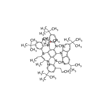 C=CCc1cc(C(C)(C)C)ccc1N(C)c1c2c3c(c(N(C)c4ccc(C(C)(C)C)cc4C)c1-n1c4ccc(C(C)C)cc4c4cc(C(C)(C)C)ccc41)N(C(C)C)c1c(C)cc(C(C)(C)C)cc1B3C(C=C)=C(C)N2